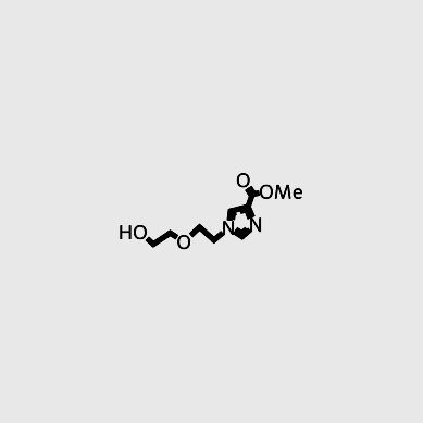 COC(=O)c1cn(CCOCCO)cn1